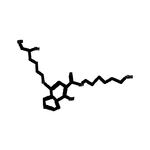 CCCCCCCCCCCCCCCCNC(=O)c1cc(OCCSCC(O)CO)c2ccccc2c1O